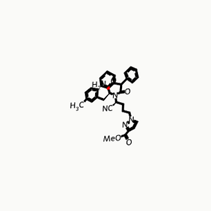 COC(=O)c1ccn(CCC[C@@H](C#N)N(C(=O)C(c2ccccc2)c2ccccc2)[C@@H](Cc2cccc(C)c2)C(N)=O)n1